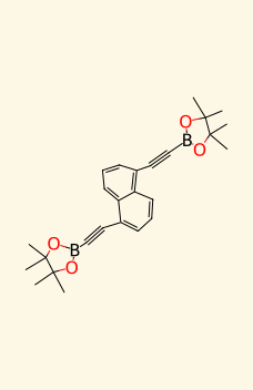 CC1(C)OB(C#Cc2cccc3c(C#CB4OC(C)(C)C(C)(C)O4)cccc23)OC1(C)C